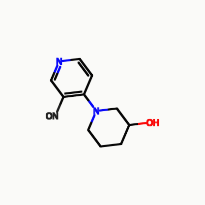 O=Nc1cnccc1N1CCCC(O)C1